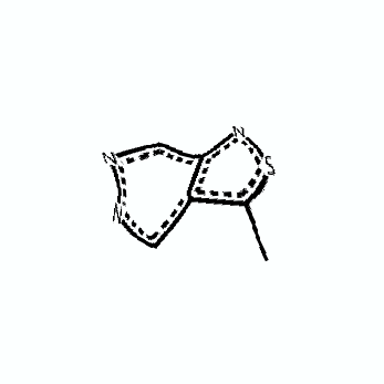 Cc1snc2cnncc12